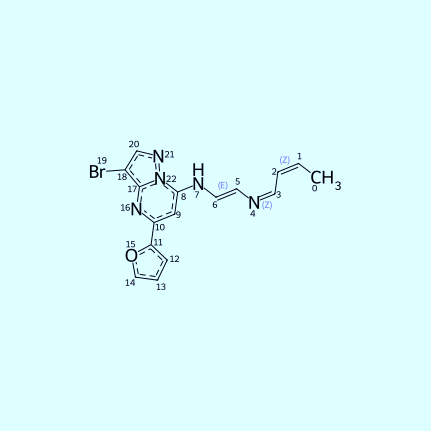 C\C=C/C=N\C=C\Nc1cc(-c2ccco2)nc2c(Br)cnn12